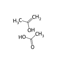 C=C(C)O.CC(=O)O